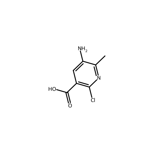 Cc1nc(Cl)c(C(=O)O)cc1N